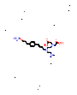 CN(C)CCN(CC/C=C/c1ccc(CCCON)cc1)CCN(CC(=O)O)CC(=O)O